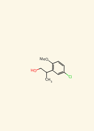 COc1ccc(Cl)cc1[C](C)CO